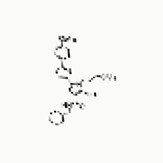 COCCCn1c(-c2csc(-c3ccc(OC)cc3)n2)cc(C(=O)NCC2CCCCC2)c1C